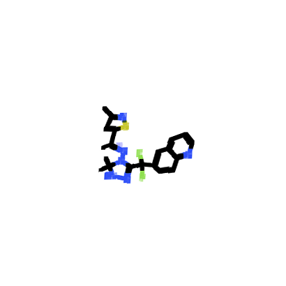 C/C(=N\N1C(C(F)(F)c2ccc3ncccc3c2)=NNC1(C)C)c1cc(C)ns1